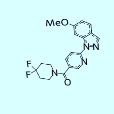 COc1ccc2cnn(-c3ccc(C(=O)N4CCC(F)(F)CC4)cn3)c2c1